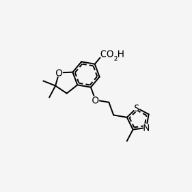 Cc1ncsc1CCOc1cc(C(=O)O)cc2c1CC(C)(C)O2